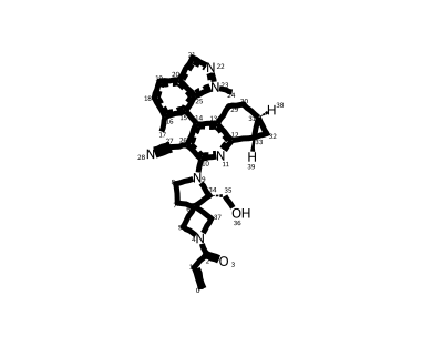 C=CC(=O)N1CC2(CCN(c3nc4c(c(-c5c(C)ccc6cnn(C)c56)c3C#N)CC[C@H]3C[C@H]43)[C@@H]2CO)C1